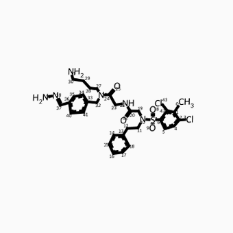 Cc1c(Cl)ccc(S(=O)(=O)N(CCc2ccccc2)CC(=O)NCC(=O)N(CCCCN)Cc2ccc(C=NN)cc2)c1Cl